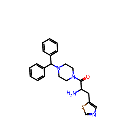 NC(Cc1cncs1)C(=O)N1CCN(C(c2ccccc2)c2ccccc2)CC1